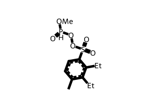 CCc1c(C)ccc(S(=O)(=O)OO[PH](=O)OC)c1CC